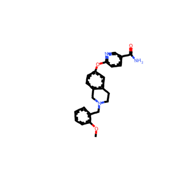 COc1ccccc1CN1CCc2cc(Oc3ccc(C(N)=O)cn3)ccc2C1